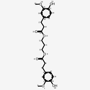 COc1cc(CCC(=O)OCCCOC(=O)CCc2ccc(O)c(OC)c2)ccc1O